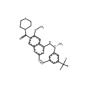 COc1cc2c(N[C@H](C)c3cc(N)cc(C(F)(F)F)c3)nc(C)nc2cc1C(=O)N1CCSCC1